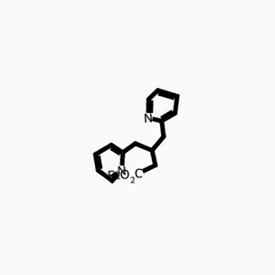 CCOC(=O)CC(Cc1ccccn1)Cc1ccccn1